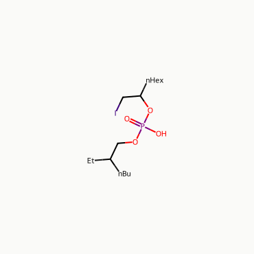 CCCCCCC(CI)OP(=O)(O)OCC(CC)CCCC